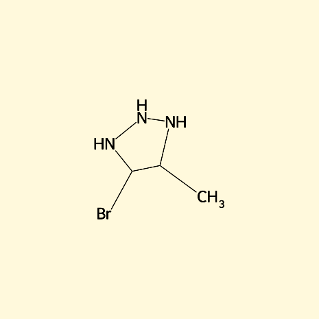 CC1NNNC1Br